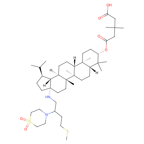 CSCCC(CN[C@]12CC[C@@H](C(C)C)[C@@H]1[C@H]1CC[C@@H]3[C@@]4(C)CC[C@H](OC(=O)CC(C)(C)CC(=O)O)C(C)(C)[C@@H]4CC[C@@]3(C)[C@]1(C)CC2)N1CCS(=O)(=O)CC1